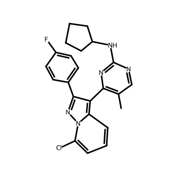 Cc1cnc(NC2CCCC2)nc1-c1c(-c2ccc(F)cc2)nn2c(Cl)cccc12